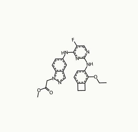 CCOc1c(Nc2ncc(F)c(Nc3ccc4c(cnn4CC(=O)OC)c3)n2)ccc2c1CC2